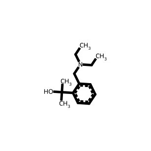 CCN(CC)Cc1ccccc1C(C)(C)O